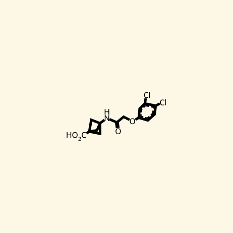 O=C(COc1ccc(Cl)c(Cl)c1)NC12CC(C(=O)O)(C1)C2